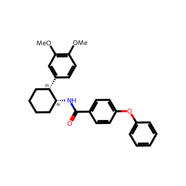 COc1ccc([C@H]2CCCC[C@H]2NC(=O)c2ccc(Oc3ccccc3)cc2)cc1OC